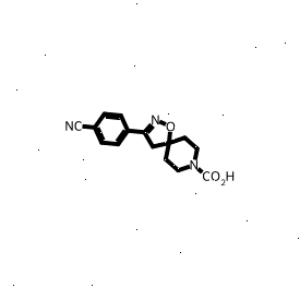 N#Cc1ccc(C2=NOC3(CCN(C(=O)O)CC3)C2)cc1